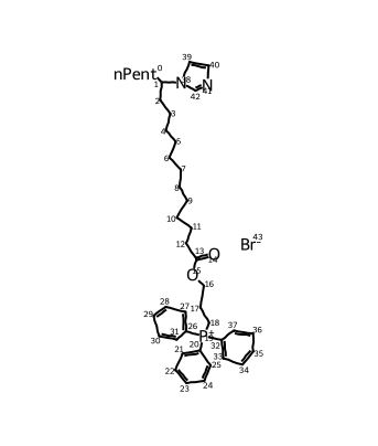 CCCCCC(CCCCCCCCCCCC(=O)OCCC[P+](c1ccccc1)(c1ccccc1)c1ccccc1)n1ccnc1.[Br-]